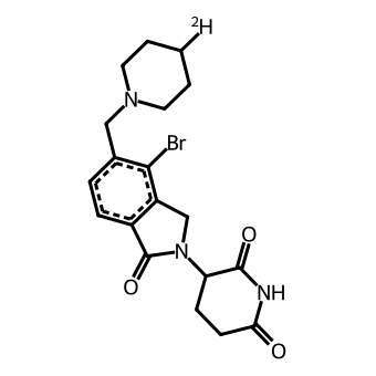 [2H]C1CCN(Cc2ccc3c(c2Br)CN(C2CCC(=O)NC2=O)C3=O)CC1